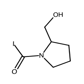 O=C(I)N1CCCC1CO